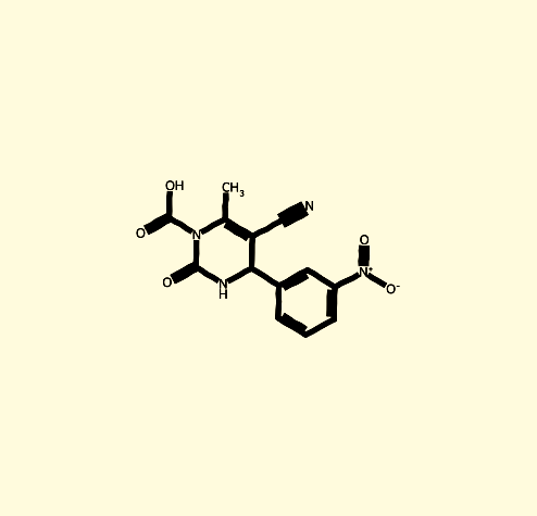 CC1=C(C#N)C(c2cccc([N+](=O)[O-])c2)NC(=O)N1C(=O)O